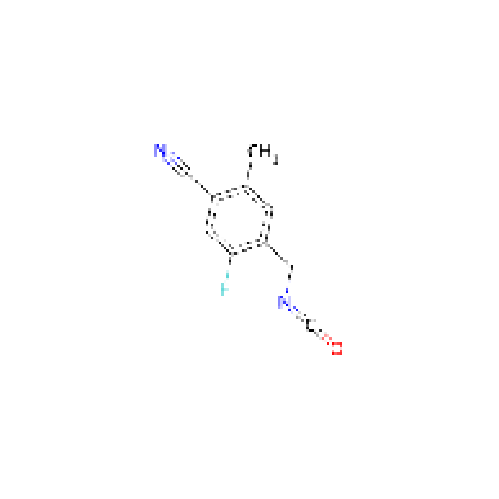 Cc1cc(CN=C=O)c(F)cc1C#N